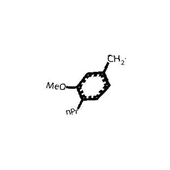 [CH2]c1ccc(CCC)c(OC)c1